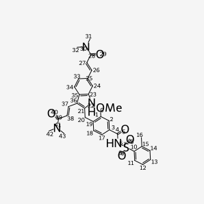 COc1cc(C(=O)NS(=O)(=O)c2ccccc2C)ccc1Cc1[nH]c2cc(/C=C/C(=O)N(C)C)ccc2c1/C=C/C(=O)N(C)C